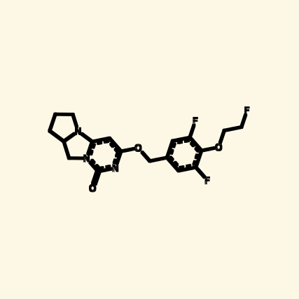 O=c1nc(OCc2cc(F)c(OCCF)c(F)c2)cc2n1CC1CCCN21